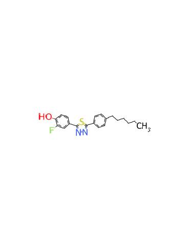 CCCCCCc1ccc(-c2nnc(-c3ccc(O)c(F)c3)s2)cc1